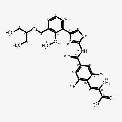 CCC(CC)OCc1cccc(-c2csc(NC(=O)c3cc(F)c(/C=C(\C)C(=O)O)c(F)c3)n2)c1OC